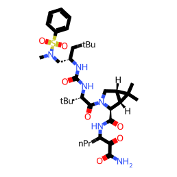 CCCC(NC(=O)[C@@H]1[C@@H]2[C@H](CN1C(=O)[C@@H](NC(=O)N[C@H](CN(C)S(=O)(=O)c1ccccc1)CC(C)(C)C)C(C)(C)C)C2(C)C)C(=O)C(N)=O